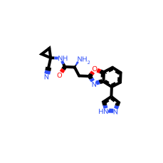 N#CC1(NC(=O)[C@@H](N)Cc2nc3c(-c4cn[nH]c4)cccc3o2)CC1